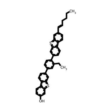 CCCC/C=C/c1ccc2c(c1)sc1cc(-c3ccc(-c4ccc5c(c4)sc4cc(O)ccc45)cc3CC)ccc12